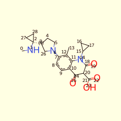 CNC1([C@@H]2CCN(c3ccc4c(c3C)N(C3CC3)C(=O)C(C(=O)O)C4=O)C2)CC1